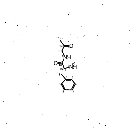 CN[C@H](Cc1ccccc1)C(=O)NCC(C)=O